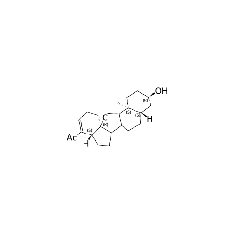 CC(=O)C1=CCC[C@]23CCC4C(CC[C@H]5C[C@H](O)CC[C@]45C)C2CC[C@H]13